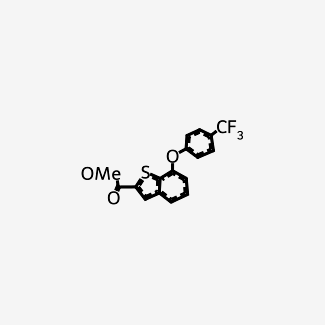 COC(=O)c1cc2cccc(Oc3ccc(C(F)(F)F)cc3)c2s1